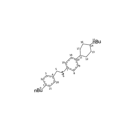 CCCCc1ccc(CSc2ccc(C3CCC(CCCC)CC3)cc2)cc1